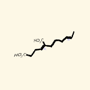 C/C=C/CCC/C(=C/CCC(=O)O)C(=O)O